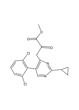 COC(=O)C(=O)Cc1nc(C2CC2)ncc1-c1c(Cl)cccc1Cl